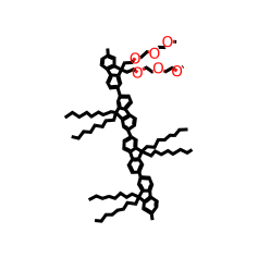 CCCCCCCCC1(CCCCCCCC)c2cc(C)ccc2-c2ccc(-c3ccc4c(c3)C(CCCCCCCC)(CCCCCCCC)c3cc(-c5ccc6c(c5)C(CCCCCCCC)(CCCCCCCC)c5cc(-c7ccc8c(c7)C(CCOCCOCCOC)(CCOCCOCCOC)c7cc(C)ccc7-8)ccc5-6)ccc3-4)cc21